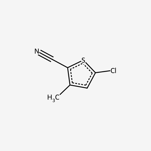 Cc1cc(Cl)sc1C#N